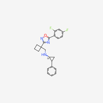 Fc1ccc(-c2nc(C3(CN[C@H]4CC4c4ccccc4)CCC3)no2)c(F)c1